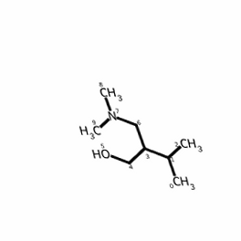 CC(C)C(CO)CN(C)C